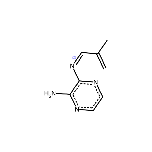 C=C(C)/C=N\c1nccnc1N